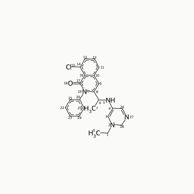 CCN1C=C(NC(C)c2cc3cccc(Cl)c3c(=O)n2-c2ccccc2)C=NC1